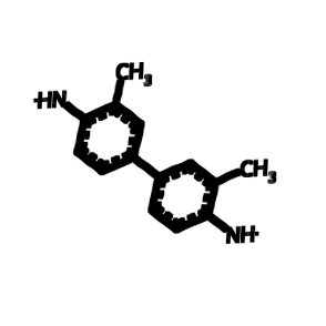 Cc1cc(-c2ccc([NH])c(C)c2)ccc1[NH]